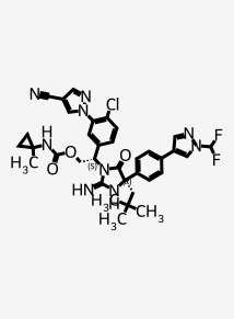 CC(C)(C)C[C@]1(c2ccc(-c3cnn(C(F)F)c3)cc2)NC(=N)N([C@H](COC(=O)NC2(C)CC2)c2ccc(Cl)c(-n3cc(C#N)cn3)c2)C1=O